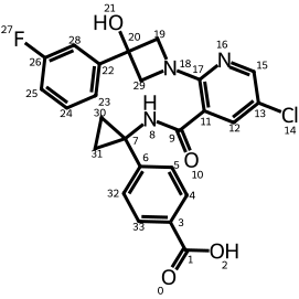 O=C(O)c1ccc(C2(NC(=O)c3cc(Cl)cnc3N3CC(O)(c4cccc(F)c4)C3)CC2)cc1